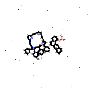 C1=Cc2cc3[nH]c(c(-c4ccccc4)c4nc(cc5ccc(cc1n2)[nH]5)C=C4c1ccccc1)c(-c1ccccc1)c3-c1ccccc1.[Mn+2].[O-]B([O-])Oc1cccc2ccc3cc4ccccc4cc3c12